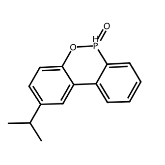 CC(C)c1ccc2c(c1)-c1ccccc1[PH](=O)O2